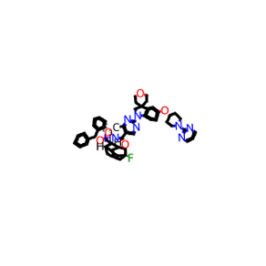 O=C(N[C@]1(C(=O)OC(c2ccccc2)c2ccccc2)[C@@H]2CC3C[C@H]1C[C@@](F)(C3)C2)c1cnc(N2CC3(CCOCC3)c3cc(OC4CCN(c5ncccn5)CC4)ccc32)nc1C(F)(F)F